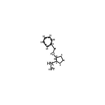 CC(C)NC1CCC[C@@H]1OCc1ccccc1